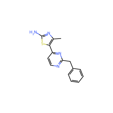 Cc1nc(N)sc1-c1ccnc(Cc2ccccc2)n1